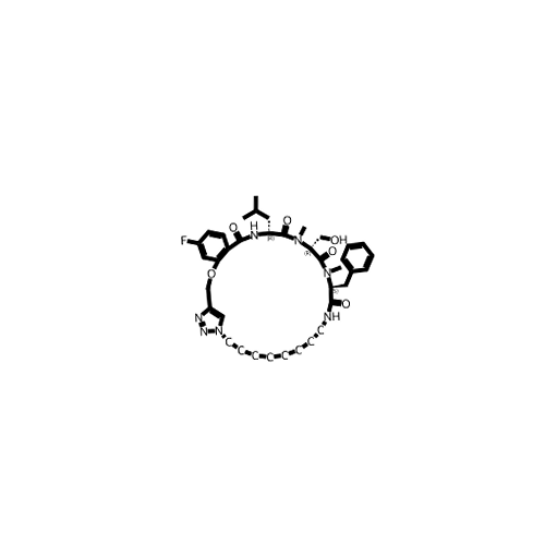 CC(C)C[C@H]1NC(=O)c2ccc(F)cc2OCc2cn(nn2)CCCCCCCCNC(=O)[C@H](Cc2ccccc2)N(C)C(=O)[C@@H](CO)N(C)C1=O